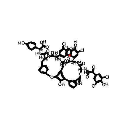 CN1C(=O)[C@@H](c2cc(Cl)c(O)c(Cl)c2)NC(=O)[C@@H]2NC(=O)[C@@H](c3cc(Cl)c(O)c(Cl)c3)NC(=O)[C@H](NC(=O)C(=O)c3cc(Cl)c(O)c(Cl)c3)Cc3c[nH]c4c(cccc34)-c3cc2cc(c3O)Oc2ccc(cc2)C[C@H]1C(=O)N[C@@H](C(=O)O)c1ccc(O)cc1